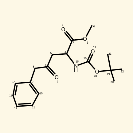 COC(=O)C(CC(=O)Cc1ccccc1)NC(=O)OC(C)(C)C